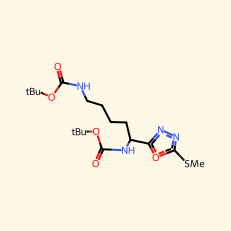 CSc1nnc(C(CCCCNC(=O)OC(C)(C)C)NC(=O)OC(C)(C)C)o1